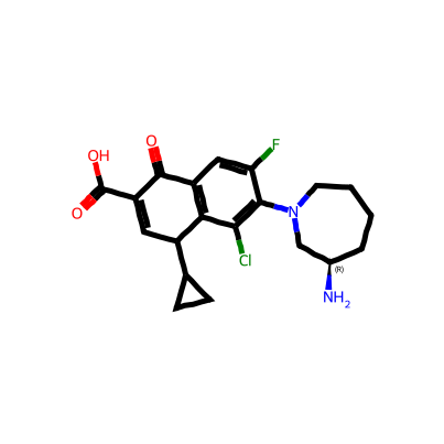 N[C@@H]1CCCCN(c2c(F)cc3c(c2Cl)C(C2CC2)C=C(C(=O)O)C3=O)C1